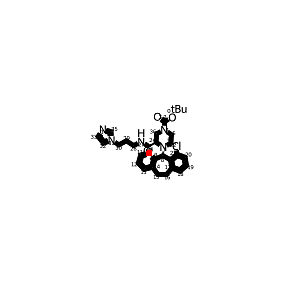 CC(C)(C)OC(=O)N1CCN([C@H]2c3ncccc3CCc3cccc(Cl)c32)[C@@H](C(=O)NCCCn2ccnc2)C1